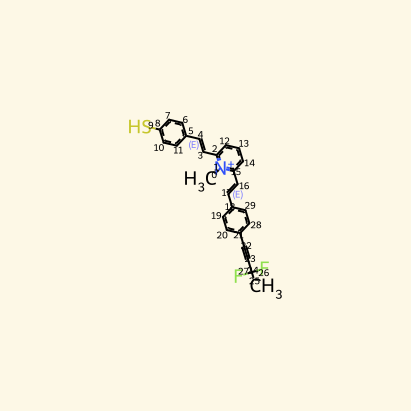 C[n+]1c(/C=C/c2ccc(S)cc2)cccc1/C=C/c1ccc(C#CC(C)(F)F)cc1